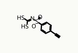 C#Cc1ccc(S(=O)(=O)N=C(S)S)cc1